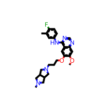 COc1cc2ncnc(Nc3ccc(F)c(C)c3)c2cc1OCCCN1CC2CN(C)CC2C1